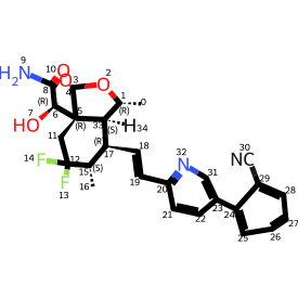 C[C@H]1OC(=O)[C@]2([C@@H](O)C(N)=O)CC(F)(F)[C@@H](C)[C@H](C=Cc3ccc(-c4ccccc4C#N)cn3)[C@H]12